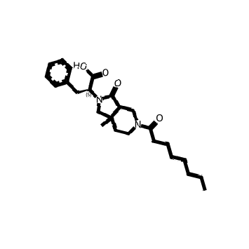 CCCCCCCC(=O)N1CCC2(C)CN([C@@H](Cc3ccccc3)C(=O)O)C(=O)C2C1